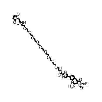 CCCN(OCC)C(=O)C1=Cc2ccc(-c3cnc(C(=O)NCCOCCOCCOCCOCCOCCOCCOCCOCCOCCNC(=O)CN4C(=O)C=CC4=O)nc3)cc2N=C(N)C1